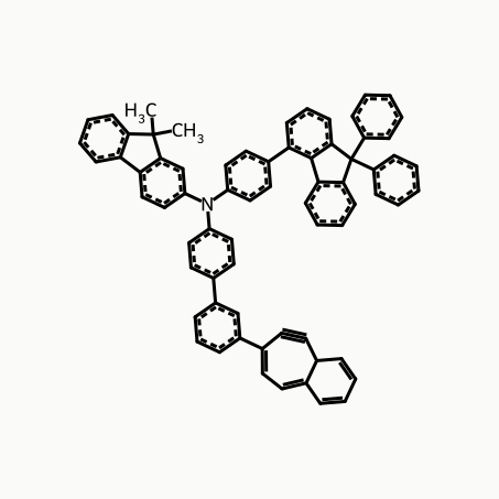 CC1(C)c2ccccc2-c2ccc(N(c3ccc(-c4cccc(C5=CC=C6C=CC=CC6C#C5)c4)cc3)c3ccc(-c4cccc5c4-c4ccccc4C5(c4ccccc4)c4ccccc4)cc3)cc21